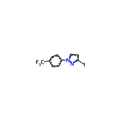 FC(F)(F)c1ccc(-n2ccc(I)n2)cc1